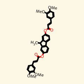 COc1ccc(C=CC(=O)Oc2ccc3c(c2)C(C)c2cc(OC(=O)C=Cc4ccc(OC)c(OC)c4)ccc2-3)cc1OC